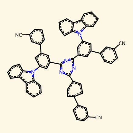 N#Cc1cccc(-c2ccc(-c3nc(-c4cc(-c5cccc(C#N)c5)cc(-n5c6ccccc6c6ccccc65)c4)nc(-c4cc(-c5cccc(C#N)c5)cc(-n5c6ccccc6c6ccccc65)c4)n3)cc2)c1